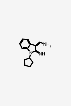 N=C1/C(=C\N)c2ccccc2N1C1CCCC1